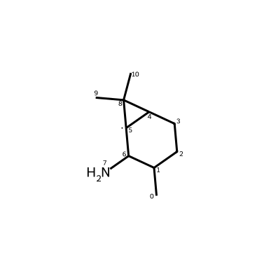 CC1CCC2[C](C1N)C2(C)C